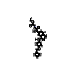 CCOC(=O)/C=C/C(=O)Nc1ccc2ncnc(Nc3ccc(OCc4ccccc4)cc3)c2c1